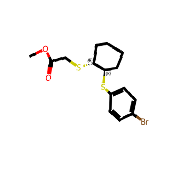 COC(=O)CS[C@@H]1CCCC[C@H]1Sc1ccc(Br)cc1